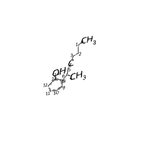 CCCCCCC(C)c1ccccc1O